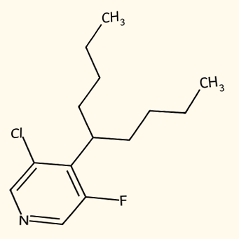 CCCCC(CCCC)c1c(F)cncc1Cl